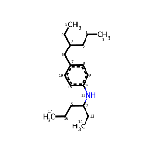 CCCC(CC)Cc1ccc(NC(CC)CCC)cc1